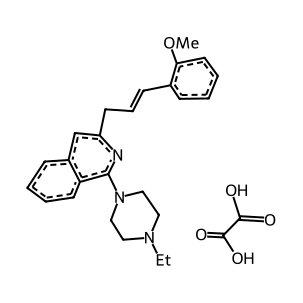 CCN1CCN(c2nc(CC=Cc3ccccc3OC)cc3ccccc23)CC1.O=C(O)C(=O)O